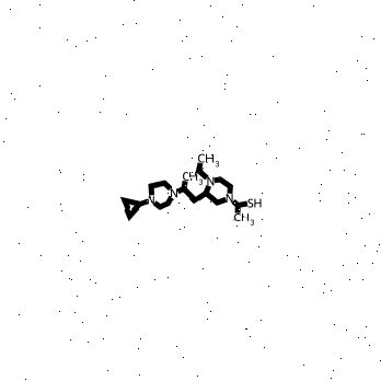 CCN1CCN(C(C)S)CC1CC(C)N1CCN(C2CC2)CC1